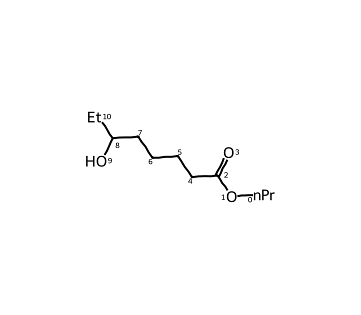 CCCOC(=O)CCCCC(O)CC